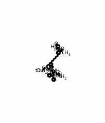 Cn1c(=O)n(C2CCC(=O)NC2=O)c2ccc(CCCCCCc3cc4c5c(c3)C[C@@H](C(=O)N[C@@H](CCC(N)=O)C(=O)NC(c3ccccc3)c3ccccc3)N5C(=O)[C@@H](NC(=O)OC(C)(C)C)CC4)cc21